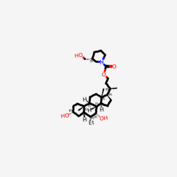 CC[C@H]1[C@@H](O)[C@@H]2[C@H](CC[C@]3(C)[C@@H]([C@H](C)CCOC(=O)N4CCC[C@@H](CO)C4)CC[C@@H]23)[C@@]2(C)CC[C@@H](O)C[C@@H]12